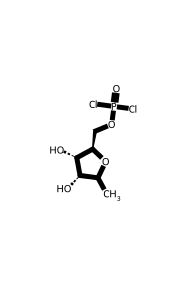 CC1O[C@H](COP(=O)(Cl)Cl)[C@@H](O)[C@H]1O